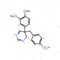 COc1ccc(C2(Cc3ccc(C(=O)O)cc3)C=NC=NC2)cc1OC